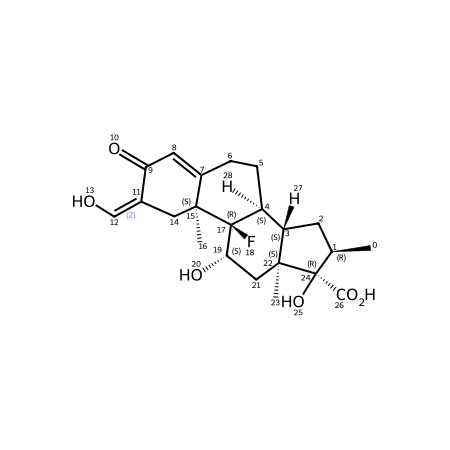 C[C@@H]1C[C@H]2[C@@H]3CCC4=CC(=O)/C(=C\O)C[C@]4(C)[C@@]3(F)[C@@H](O)C[C@]2(C)[C@@]1(O)C(=O)O